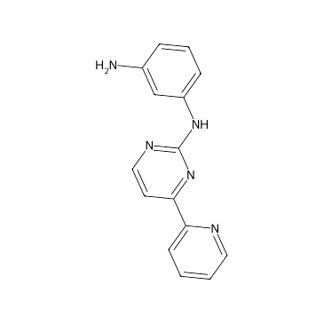 Nc1cccc(Nc2nccc(-c3ccccn3)n2)c1